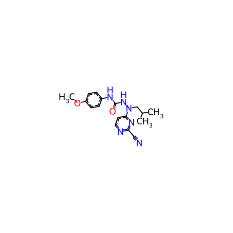 COc1ccc(NC(=O)NN(CC(C)C)c2ccnc(C#N)n2)cc1